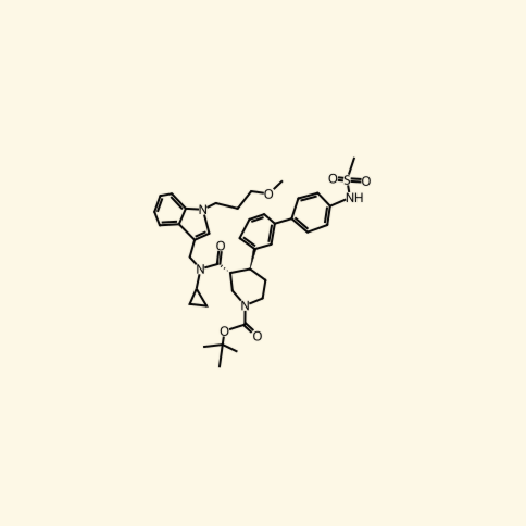 COCCCn1cc(CN(C(=O)[C@H]2CN(C(=O)OC(C)(C)C)CC[C@@H]2c2cccc(-c3ccc(NS(C)(=O)=O)cc3)c2)C2CC2)c2ccccc21